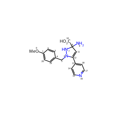 COc1ccc(CN2NC(N)(C(=O)O)C=C2c2ccncc2)cc1